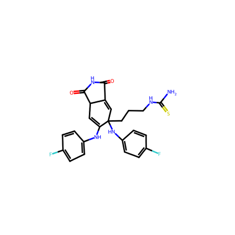 NC(=S)NCCCC1(Nc2ccc(F)cc2)C=C2C(=O)NC(=O)C2C=C1Nc1ccc(F)cc1